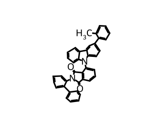 Cc1ccccc1-c1ccc2c(c1)c1ccccc1n2-c1cccc2c1C(=O)N(c1ccccc1-c1ccccc1)C2=O